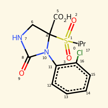 CC(C)S(=O)(=O)C1(C(=O)O)CNC(=O)N1c1ccccc1Cl